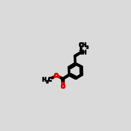 CBCc1cccc(C(=O)OC)c1